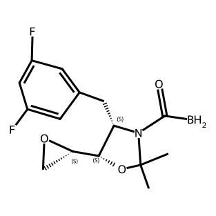 BC(=O)N1[C@@H](Cc2cc(F)cc(F)c2)[C@@H]([C@@H]2CO2)OC1(C)C